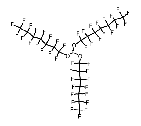 FC(F)(F)C(F)(F)C(F)(F)C(F)(F)C(F)(F)C(F)(F)C(F)(F)OP(OC(F)(F)C(F)(F)C(F)(F)C(F)(F)C(F)(F)C(F)(F)C(F)(F)F)OC(F)(F)C(F)(F)C(F)(F)C(F)(F)C(F)(F)C(F)(F)C(F)(F)F